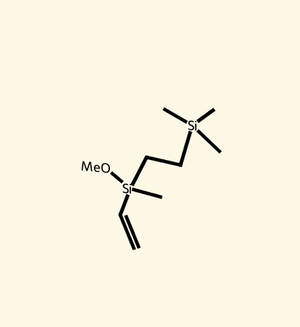 C=C[Si](C)(CC[Si](C)(C)C)OC